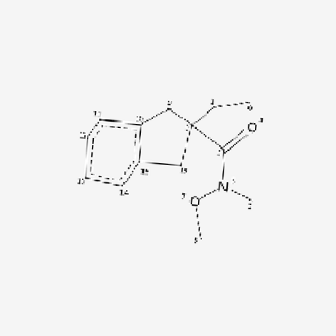 CCC1(C(=O)N(C)OC)Cc2ccccc2C1